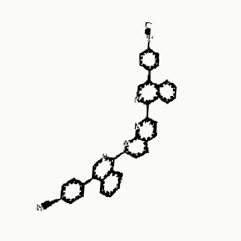 [C-]#[N+]c1ccc(-c2cnc(-c3ccc4ccc(-c5ncc(-c6ccc(C#N)cc6)c6ccccc56)nc4n3)c3ccccc23)cc1